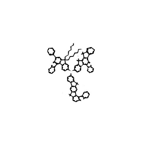 CCCCCCCC1(CCCCCCC)c2cc(N(c3ccc4c(c3)C(C)(C)c3cc5c(cc3-4)C(C)(C)c3ccc4oc6ccccc6c4c3-5)c3ccc4c(c3)C(C)(C)c3c5c(c6oc7ccccc7c6c3-4)-c3ccccc3C5(C)C)ccc2-c2c1cc(-c1ccccc1)c1oc3ccccc3c21